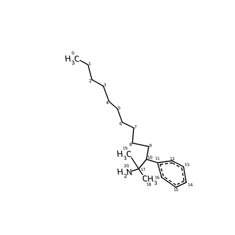 CCCCCCCCCCC(c1ccccc1)C(C)(C)N